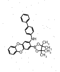 CC1(C)OB(c2cc3c(cc2Nc2ccc(-c4ccccc4)cc2)Oc2ccccc2O3)OC1(C)C